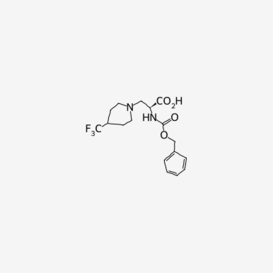 O=C(N[C@@H](CN1CCC(C(F)(F)F)CC1)C(=O)O)OCc1ccccc1